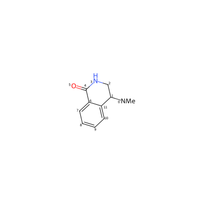 CNC1CNC(=O)c2ccccc21